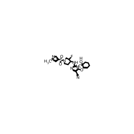 Cn1cc(S(=O)(=O)N2CCC(Nc3ncc(C#N)c(OC4=CCCCC4(C)O)n3)C(F)C2)cn1